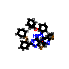 c1ccc(N(Nc2nc(-c3ccccc3SC3CCCCC3)nc3sccc23)c2ncnc3sccc23)c(OC2CC3CCC2C3)c1